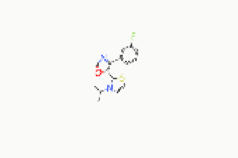 CC(C)N1C=CSC1c1ocnc1-c1cccc(F)c1